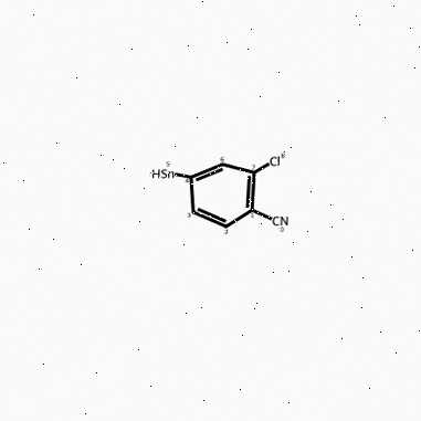 N#Cc1cc[c]([SnH])cc1Cl